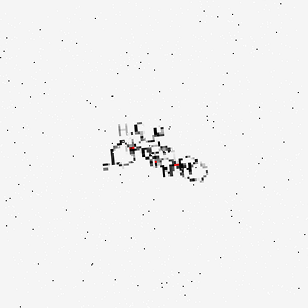 CC(c1ccc(F)cc1)S(=O)(=O)CC(=O)N1CC2CCC(C1)N2c1ccc(C#N)cn1